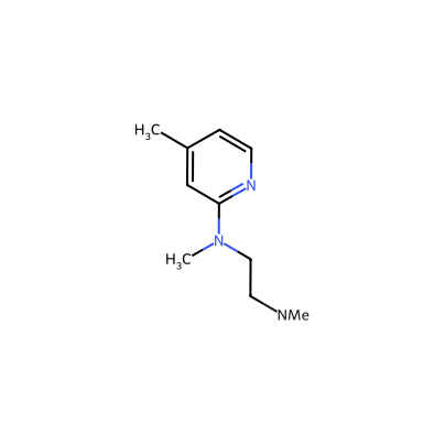 CNCCN(C)c1cc(C)ccn1